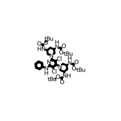 CC(C)(C)OC(=O)NC1CC(NC(=O)OC(C)(C)C)CN(c2nc(Nc3ccccc3)c(Cl)c(N3CC(NC(=O)OC(C)(C)C)CC(NC(=O)OC(C)(C)C)C3)c2Cl)C1